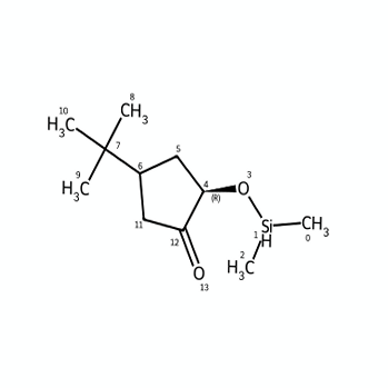 C[SiH](C)O[C@@H]1CC(C(C)(C)C)CC1=O